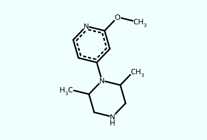 COc1cc(N2C(C)CNCC2C)ccn1